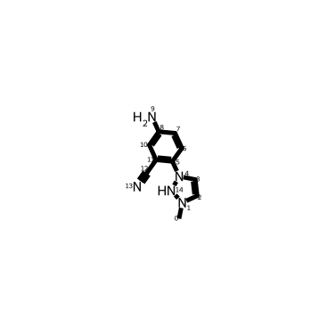 CN1C=CN(c2ccc(N)cc2C#N)N1